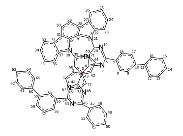 c1ccc(C2=NC(c3ccc(-c4ccccc4)cc3)=NC(n3c4ccccc4c4ccc5c6ccccc6n(-c6cccc(-c7nc(-c8ccccc8)nc(-c8cccc(-c9ccccc9)c8)n7)c6)c5c43)N2)cc1